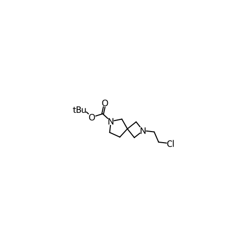 CC(C)(C)OC(=O)N1CCC2(CN(CCCl)C2)C1